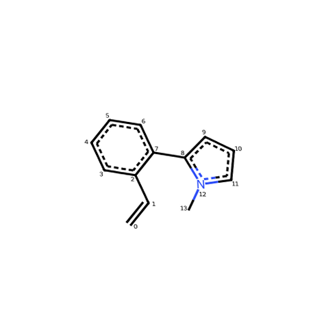 C=Cc1ccccc1-c1cccn1C